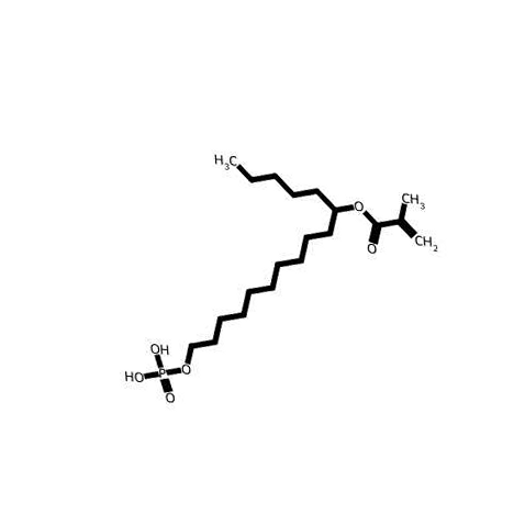 C=C(C)C(=O)OC(CCCCC)CCCCCCCCCCOP(=O)(O)O